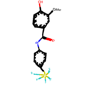 COc1cc(C(=O)Nc2ccc(S(F)(F)(F)(F)F)cc2)ccc1O